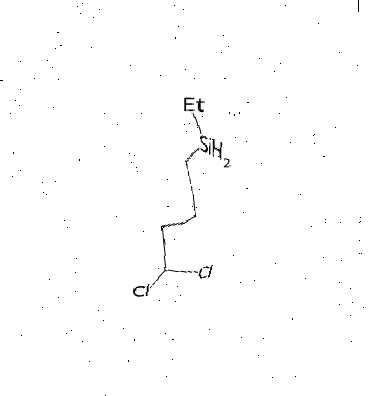 CC[SiH2]CCCC(Cl)Cl